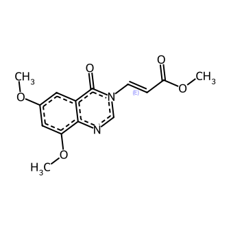 COC(=O)/C=C/n1cnc2c(OC)cc(OC)cc2c1=O